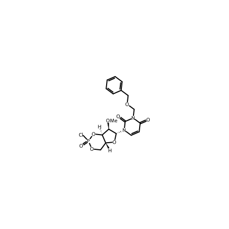 CO[C@@H]1[C@@H]2OP(=O)(Cl)OC[C@H]2O[C@H]1n1ccc(=O)n(COCc2ccccc2)c1=O